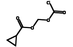 O=C(Cl)OCOC(=O)C1CC1